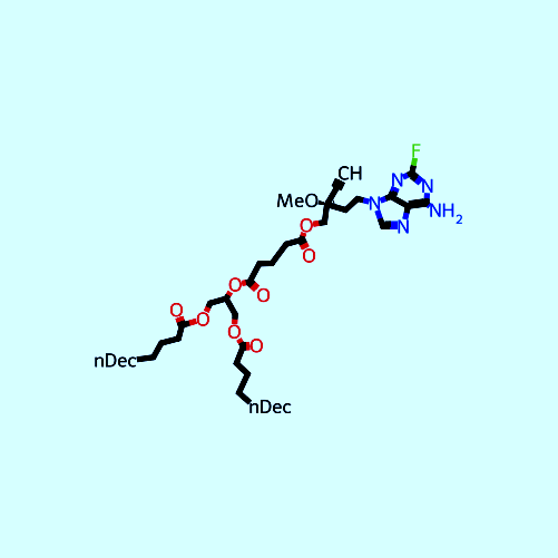 C#C[C@](CCn1cnc2c(N)nc(F)nc21)(COC(=O)CCCC(=O)OC(COC(=O)CCCCCCCCCCCCC)COC(=O)CCCCCCCCCCCCC)OC